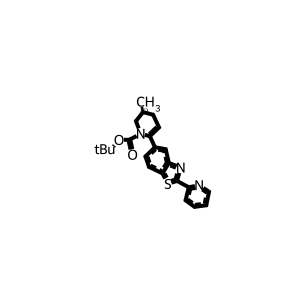 C[C@H]1CC=C(c2ccc3sc(-c4ccccn4)nc3c2)N(C(=O)OC(C)(C)C)C1